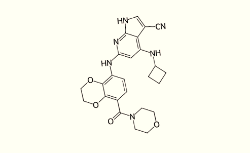 N#Cc1c[nH]c2nc(Nc3ccc(C(=O)N4CCOCC4)c4c3OCCO4)cc(NC3CCC3)c12